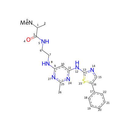 CNC(C)C(=O)NCCNc1cc(Nc2ncc(-c3ccccc3)s2)nc(C)n1